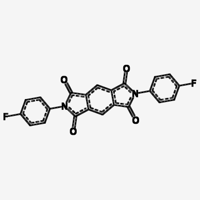 O=c1c2cc3c(=O)n(-c4ccc(F)cc4)c(=O)c3cc2c(=O)n1-c1ccc(F)cc1